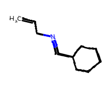 C=CCN=CC1CCCCC1